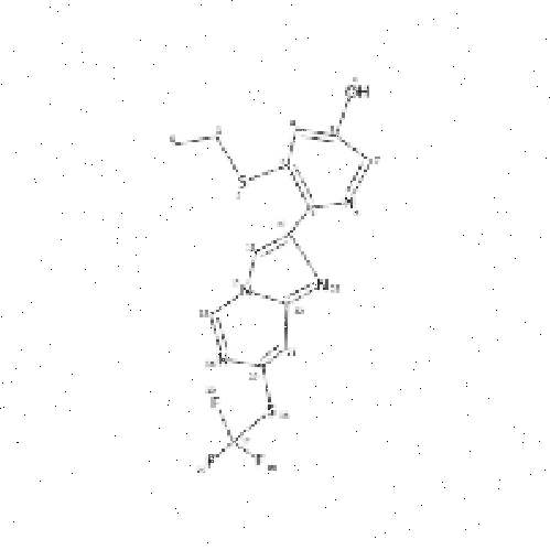 CCSc1cc(O)cnc1-c1cn2cnc(SC(F)(F)F)cc2n1